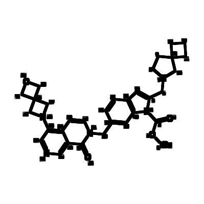 CC(C)(C)OC(=O)n1c(CN2CCC3(CCC3)C2)cc2ccc(Cn3ccc4c(N5CC6(COC6)C5)cncc4c3=O)cc21